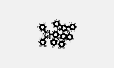 C1=CCCC(n2c3ccccc3c3cc4c5ccccc5n(-c5cc(C6N=C(c7ccccc7)N=C(c7ccccc7)N6)cc([Si](c6ccccc6)(c6ccccc6)c6ccccc6)c5)c4cc32)=C1